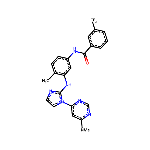 CNc1cc(-n2ccnc2Nc2cc(NC(=O)c3cccc(C(F)(F)F)c3)ccc2C)ncn1